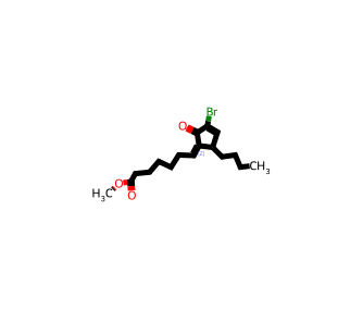 CCCCC1C=C(Br)C(=O)/C1=C\CCCCCC(=O)OC